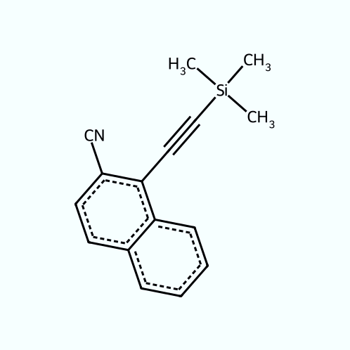 C[Si](C)(C)C#Cc1c(C#N)ccc2ccccc12